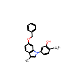 N#Cc1cn(-c2ccc(C(=O)O)c(O)c2)c2cc(OCc3ccccc3)ccc12